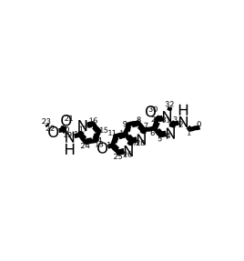 CCNc1ncc(-c2ccc3cc(Oc4ccnc(NC(=O)OC)c4)cnc3n2)c(=O)n1C